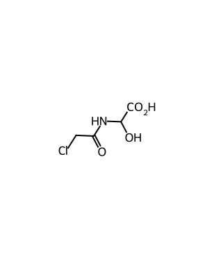 O=C(CCl)NC(O)C(=O)O